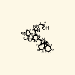 C[C@H](O)Cn1ncc(-c2cc(O[C@@H](C)[C@@H]3CCCN3C)nc(-c3noc4c3CCC[C@@]43CCCCC3=O)n2)n1